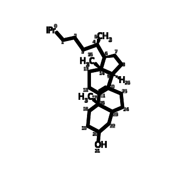 CC(C)CCC[C@@H](C)[C@H]1CC[C@H]2C3=C(CC[C@]12C)[C@@]1(C)CCC(O)CC1CC3